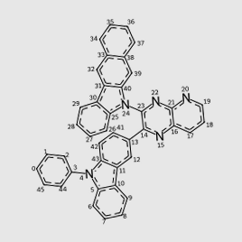 c1ccc(-n2c3ccccc3c3cc(-c4nc5cccnc5nc4-n4c5ccccc5c5cc6ccccc6cc54)ccc32)cc1